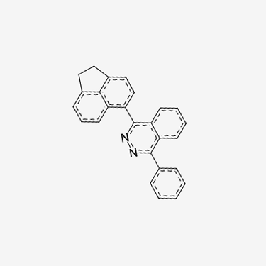 c1ccc(-c2nnc(-c3ccc4c5c(cccc35)CC4)c3ccccc23)cc1